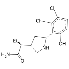 CC[C@H](C(N)=O)[C@H]1CN[C@@H](c2c(O)ccc(Cl)c2Cl)C1